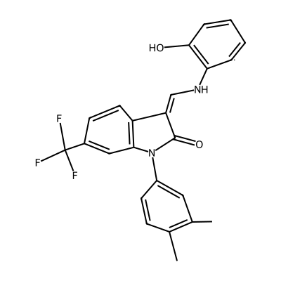 Cc1ccc(N2C(=O)C(=CNc3[c]cccc3O)c3ccc(C(F)(F)F)cc32)cc1C